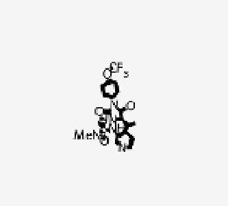 CNS(=O)(=O)Nc1cnccc1C(C)C1NC(=O)N(c2ccc(OC(F)(F)F)cc2)C1=O